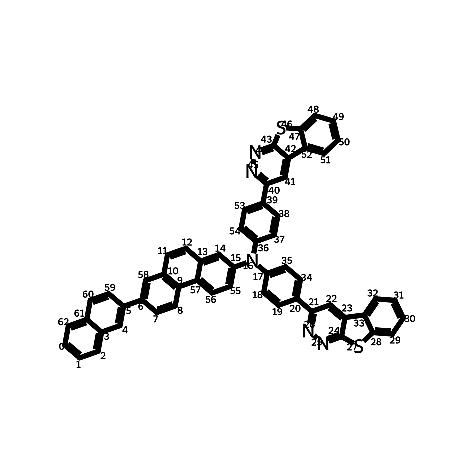 c1ccc2cc(-c3ccc4c(ccc5cc(N(c6ccc(-c7cc8c(nn7)sc7ccccc78)cc6)c6ccc(-c7cc8c(nn7)sc7ccccc78)cc6)ccc54)c3)ccc2c1